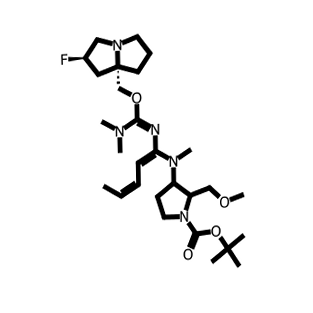 C\C=C/C=C(/N=C(/OC[C@@]12CCCN1C[C@H](F)C2)N(C)C)N(C)C1CCN(C(=O)OC(C)(C)C)C1COC